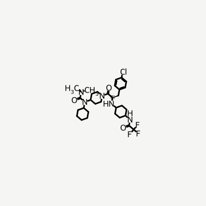 CN(C)C(=O)N(C1CCCCC1)C1CCN(C(=O)[C@@H](Cc2ccc(Cl)cc2)NC2CCC(NC(=O)C(F)(F)F)CC2)CC1